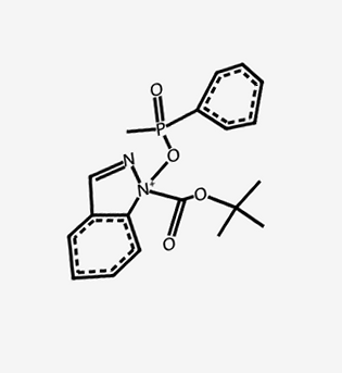 CC(C)(C)OC(=O)[N+]1(OP(C)(=O)c2ccccc2)N=Cc2ccccc21